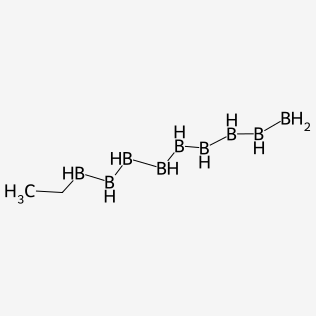 BBBBBBBBBCC